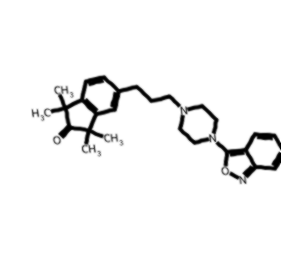 CC1(C)C(=O)C(C)(C)c2cc(CCCN3CCN(c4onc5ccccc45)CC3)ccc21